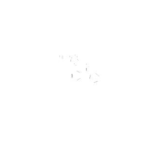 CCC(N)Cc1nnc2n1-c1ccc(Cl)cc1C(c1ccccc1)=NC2